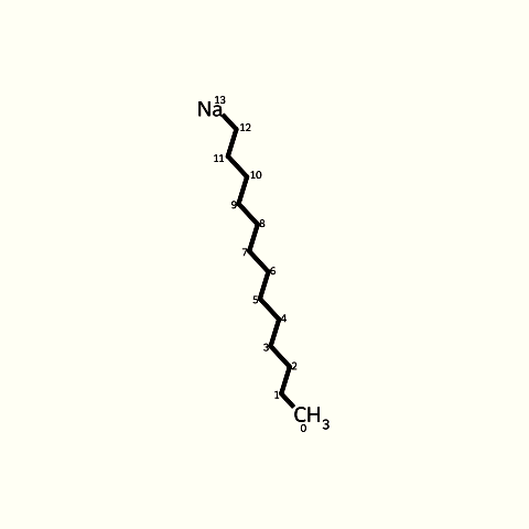 CCCCCCCCCCCC[CH2][Na]